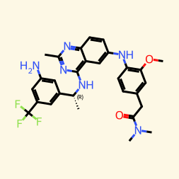 COc1cc(CC(=O)N(C)C)ccc1Nc1ccc2nc(C)nc(N[C@H](C)c3cc(N)cc(C(F)(F)F)c3)c2c1